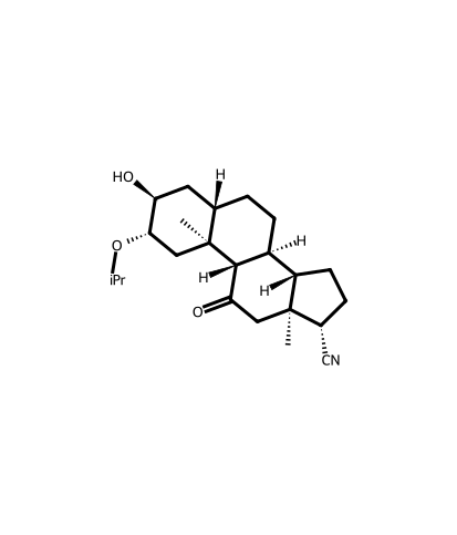 CC(C)O[C@H]1C[C@@]2(C)[C@@H](CC[C@H]3[C@@H]4CC[C@H](C#N)[C@@]4(C)CC(=O)[C@@H]32)C[C@@H]1O